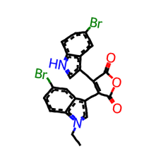 CCn1cc(C2=C(c3c[nH]c4ccc(Br)cc34)C(=O)OC2=O)c2cc(Br)ccc21